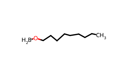 BOCCCCCCCCC